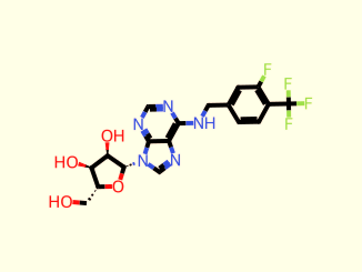 OC[C@H]1O[C@@H](n2cnc3c(NCc4ccc(C(F)(F)F)c(F)c4)ncnc32)[C@H](O)[C@@H]1O